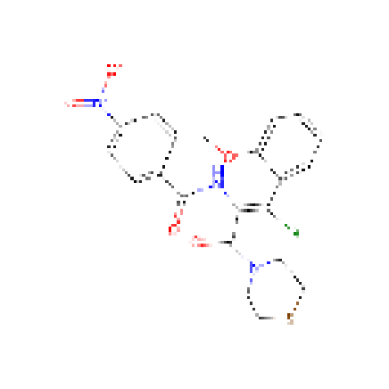 COc1ccccc1C(Br)=C(NC(=O)c1ccc([N+](=O)[O-])cc1)C(=O)N1CCSCC1